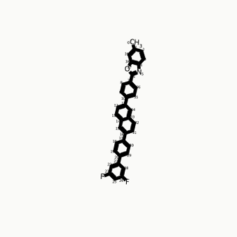 Cc1ccc2nc(-c3ccc(-c4ccc5cc(-c6ccc(-c7cc(F)cc(F)c7)cc6)ccc5c4)cc3)oc2c1